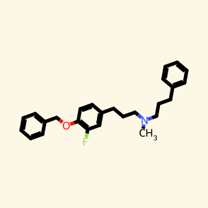 CN(CCCc1ccccc1)CCCc1ccc(OCc2ccccc2)c(F)c1